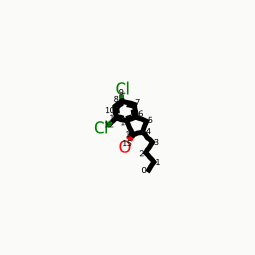 CCCCC1Cc2cc(Cl)cc(Cl)c2C1=O